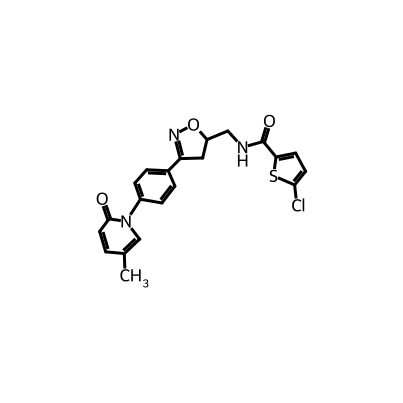 Cc1ccc(=O)n(-c2ccc(C3=NOC(CNC(=O)c4ccc(Cl)s4)C3)cc2)c1